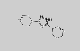 C1=NCCCC1c1nc(C2CC=NCC2)n[nH]1